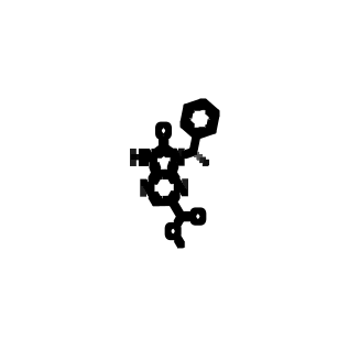 COC(=O)c1cnc2[nH]c(=O)n([C@@H](C)c3ccccc3)c2n1